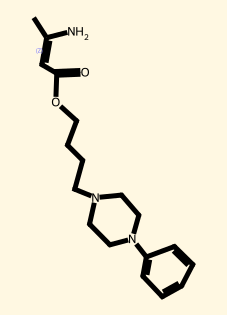 C/C(N)=C/C(=O)OCCCCN1CCN(c2ccccc2)CC1